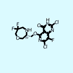 O=c1[nH]c(Cl)nc2c(F)c(Cl)nc(OC[C@@H]3COCC(F)(F)CN3)c12